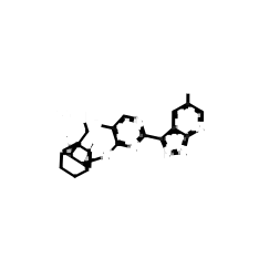 O=C(O)C[C@@H]1C2CCC(CC2)[C@H]1Nc1nc(-c2n[nH]c3ncc(F)cc23)ncc1F